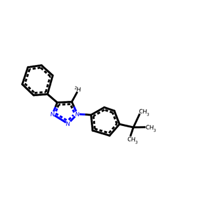 [2H]c1c(-c2ccccc2)nnn1-c1ccc(C(C)(C)C)cc1